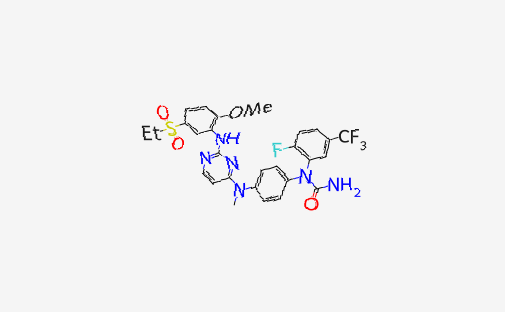 CCS(=O)(=O)c1ccc(OC)c(Nc2nccc(N(C)c3ccc(N(C(N)=O)c4cc(C(F)(F)F)ccc4F)cc3)n2)c1